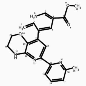 C=C/C(=C\C(=C/N)C(=O)OC)c1cc(-c2cccc(C)n2)nc2c1OCCN2